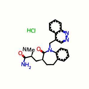 CN[C@@H](C[C@@H]1CCc2ccccc2N(Cc2cnnc3ccccc23)C1=O)C(N)=O.Cl